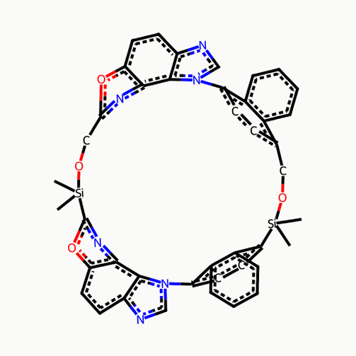 C[Si]1(C)OCc2nc3c(ccc4ncn(c43)-c3ccc(c4ccccc34)CO[Si](C)(C)c3ccc(c4ccccc34)-n3cnc4ccc5oc1nc5c43)o2